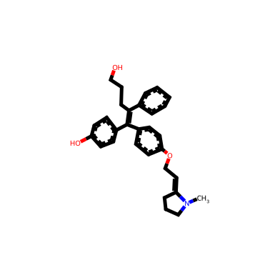 CN1CCC/C1=C\COc1ccc(/C(=C(/CCCO)c2ccccc2)c2ccc(O)cc2)cc1